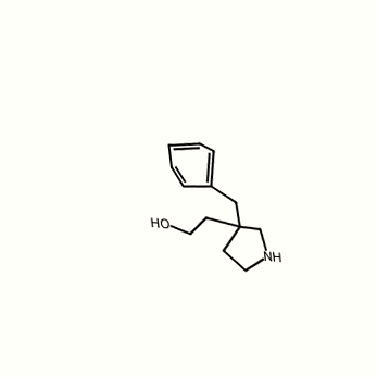 OCCC1(Cc2ccccc2)CCNC1